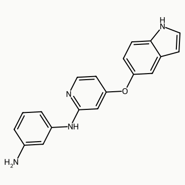 Nc1cccc(Nc2cc(Oc3ccc4[nH]ccc4c3)ccn2)c1